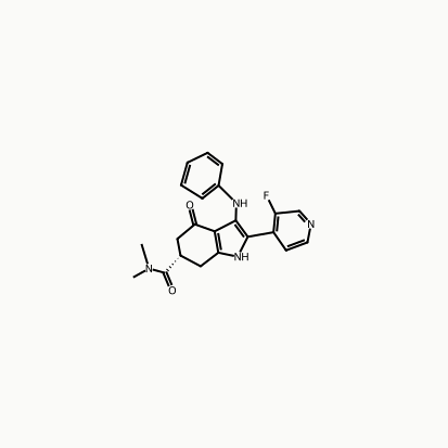 CN(C)C(=O)[C@@H]1CC(=O)c2c([nH]c(-c3ccncc3F)c2Nc2ccccc2)C1